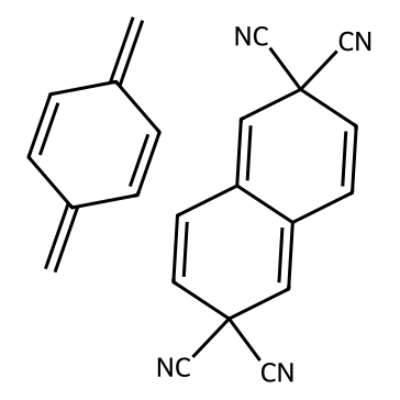 C=c1ccc(=C)cc1.N#CC1(C#N)C=CC2=CC(C#N)(C#N)C=CC2=C1